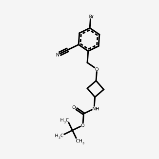 CC(C)(C)OC(=O)NC1CC(OCc2ccc(Br)cc2C#N)C1